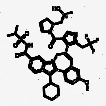 COc1ccc2c(c1)C=C(c1c(C(=O)N3C=CCC3C[C@H](C)O)cnn1CC(F)(F)F)Cn1c-2c(C2CCCCC2)c2ccc(C(=O)NS(=O)(=O)C(C)C)cc21